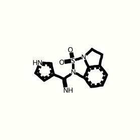 N=C(c1cc[nH]c1)N1c2cccc3c2N(CC3)S1(=O)=O